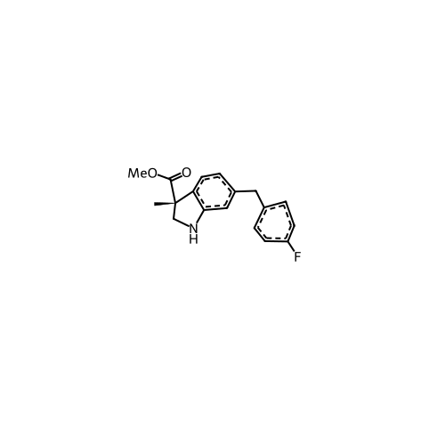 COC(=O)[C@@]1(C)CNc2cc(Cc3ccc(F)cc3)ccc21